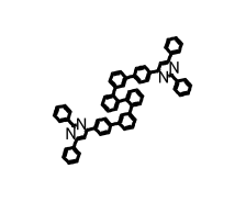 c1ccc(-c2cc(-c3ccc(-c4cccc(-c5ccccc5-c5ccccc5-c5cccc(-c6ccc(-c7cc(-c8ccccc8)nc(-c8ccccc8)n7)cc6)c5)c4)cc3)nc(-c3ccccc3)n2)cc1